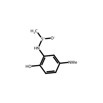 CNc1ccc(O)c(N[S+](C)[O-])c1